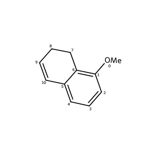 COc1cccc2c1CCC=C2